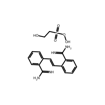 N=C(N)c1ccccc1/C=C/c1ccccc1C(=N)N.O=S(=O)(CCO)OO